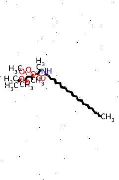 CCC=CCC=CCC=CCC=CCC=CCC=CCCC(=O)NC(C)C(=O)O[C@@H](C)[C@@H](C(=O)OC)C(=O)OC(C)(C)C